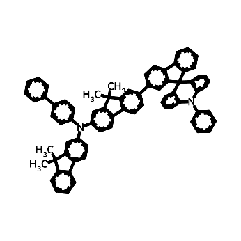 CC1(C)c2ccccc2-c2ccc(N(c3ccc(-c4ccccc4)cc3)c3ccc4c(c3)C(C)(C)c3cc(-c5ccc6c(c5)C5(c7ccccc7-6)c6ccccc6N(c6ccccc6)c6ccccc65)ccc3-4)cc21